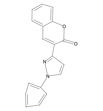 O=c1oc2ccccc2cc1-c1ccn(-c2ccccc2)n1